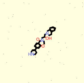 O=C1c2ccc(C3=CCNCC3)cc2OCCN1C[C@H](O)CN1CCc2ccccc2C1